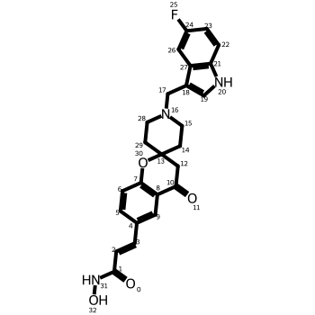 O=C(C=Cc1ccc2c(c1)C(=O)CC1(CCN(Cc3c[nH]c4ccc(F)cc34)CC1)O2)NO